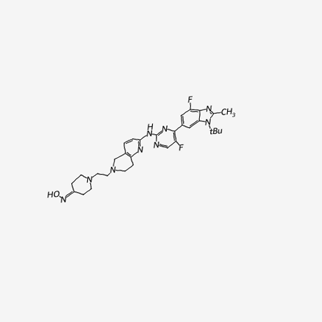 Cc1nc2c(F)cc(-c3nc(Nc4ccc5c(n4)CCN(CCN4CCC(=NO)CC4)C5)ncc3F)cc2n1C(C)(C)C